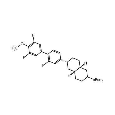 CCCCCC1CC[C@@H]2C[C@H](c3ccc(-c4cc(F)c(OC(F)(F)F)c(F)c4)c(F)c3)CC[C@@H]2C1